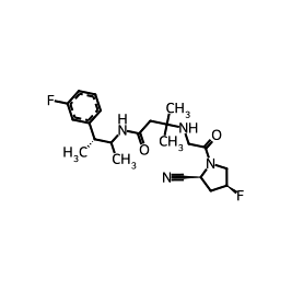 CC(NC(=O)CC(C)(C)NCC(=O)N1C[C@@H](F)C[C@H]1C#N)[C@H](C)c1cccc(F)c1